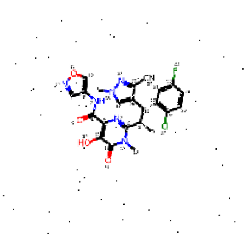 C[C@@H](c1nc(C(=O)Nc2cnoc2)c(O)c(=O)n1C)[C@@H](c1cc(F)ccc1Cl)c1cn(C)nc1C#N